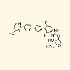 OC[C@H]1OCC(Oc2nc3c(F)c(-c4ccc(-c5ccc(-c6nccc(O)n6)cc5)cc4)c(F)cc3[nH]2)[C@@H]1O